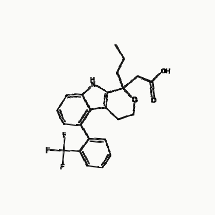 CCCC1(CC(=O)O)OCCc2c1[nH]c1cccc(-c3ccccc3C(F)(F)F)c21